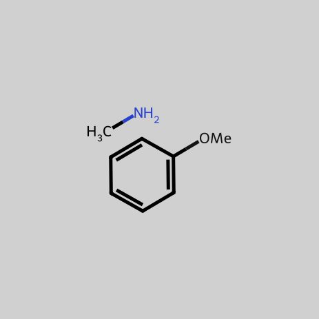 CN.COc1ccccc1